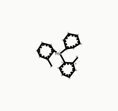 Cc1ccccc1[SiH](c1ccccc1)c1ccccc1C